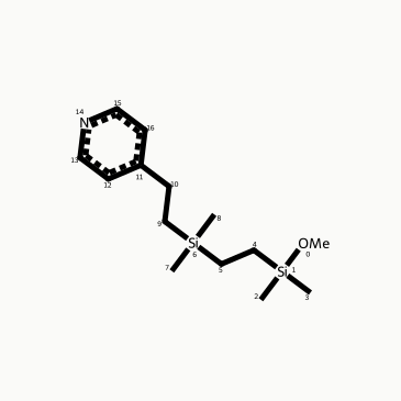 CO[Si](C)(C)CC[Si](C)(C)CCc1ccncc1